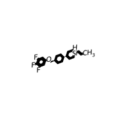 CCC[SiH]1CCC([C@H]2CC[C@H](COc3cc(F)c(F)c(F)c3)CC2)CC1